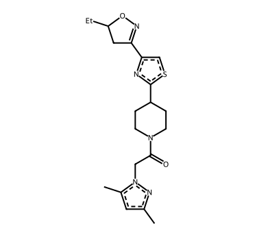 CCC1CC(c2csc(C3CCN(C(=O)Cn4nc(C)cc4C)CC3)n2)=NO1